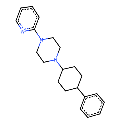 c1ccc(C2CCC(N3CCN(c4ccccn4)CC3)CC2)cc1